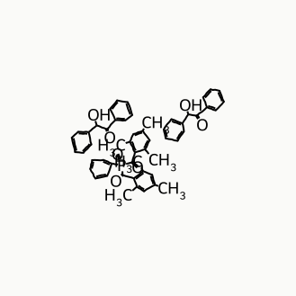 Cc1cc(C)c(C(=O)P(=O)(C(=O)c2c(C)cc(C)cc2C)c2ccccc2)c(C)c1.O=C(c1ccccc1)C(O)c1ccccc1.O=C(c1ccccc1)C(O)c1ccccc1